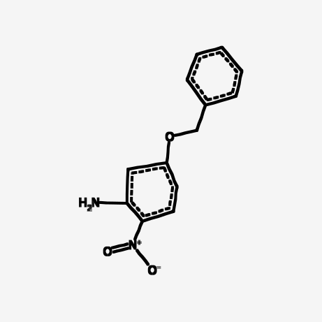 Nc1cc(OCc2ccccc2)ccc1[N+](=O)[O-]